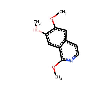 CBc1cc2c(OC)nccc2cc1OC